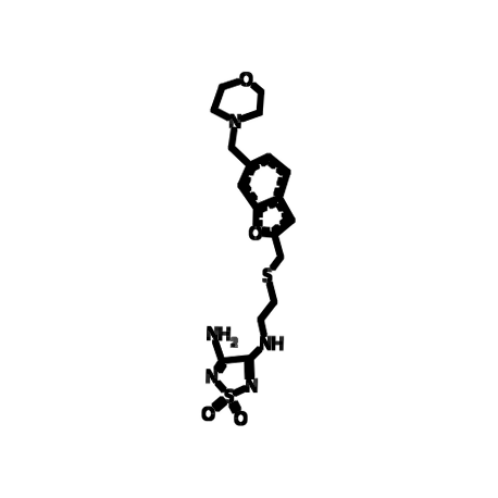 NC1=NS(=O)(=O)N=C1NCCSCc1cc2ccc(CN3CCOCC3)cc2o1